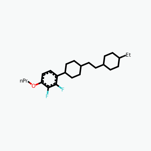 CCCOc1ccc(C2CCC(CCC3CCC(CC)CC3)CC2)c(F)c1F